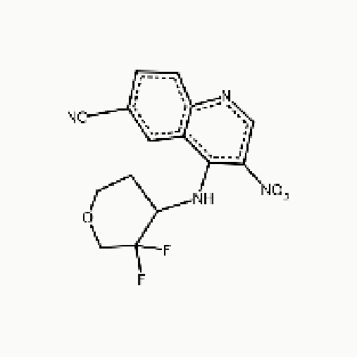 N#Cc1ccc2ncc([N+](=O)[O-])c(NC3CCOCC3(F)F)c2c1